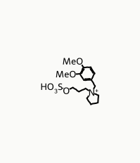 COc1ccc(C[N+]2(CCCOS(=O)(=O)O)CCCC2)cc1OC